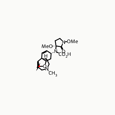 CON1CC[C@](OC)(N(C(=O)O)[C@H]2C=C[C@@]34CCN(C)Cc5cccc(c53)O[C@H]4C2)C1=O